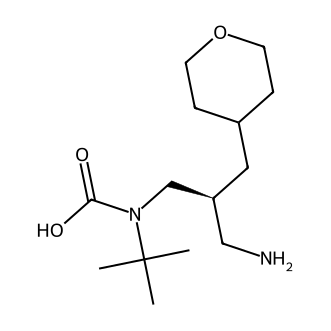 CC(C)(C)N(C[C@H](CN)CC1CCOCC1)C(=O)O